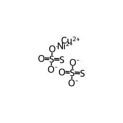 O=S([O-])([O-])=S.O=S([O-])([O-])=S.[Cu+2].[Ni+2]